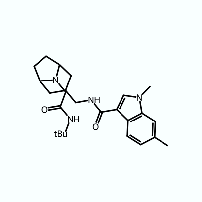 Cc1ccc2c(C(=O)NCC3CC4CCC(C3)N4CC(=O)NC(C)(C)C)cn(C)c2c1